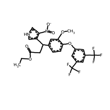 CCOC(=O)CC(c1ccc(Oc2cc(C(F)(F)F)cc(C(F)(F)F)c2)c(OC)c1)c1c[nH]cc1[N+](=O)[O-]